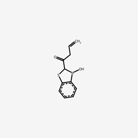 C=CCC(=O)C1Sc2ccccc2N1O